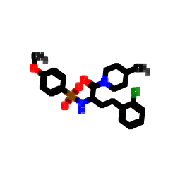 COc1ccc(S(=O)(=O)NC(CCc2ccccc2Cl)C(=O)N2CCC(C)CC2)cc1